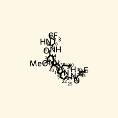 COc1cc(C(=O)N[C@H]2CC[C@@H](C(F)(F)F)NC2)cc2nc(-c3cc4ccc([C@@H](C)NC(=O)C56CC(F)(C5)C6)nc4n3CC3CC3)c(C)n12